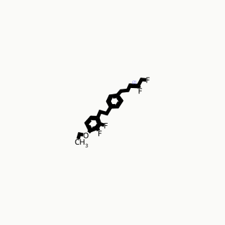 CCOc1ccc(CCc2ccc(CC/C=C(\F)CF)cc2)c(F)c1F